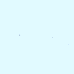 COc1cc(/C=C2\SC(=O)N(CC(=O)Nc3ccc(F)c(Br)c3)C2=O)ccc1O